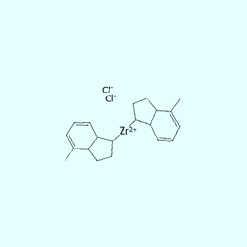 CC1=CC=CC2[CH]([Zr+2][CH]3CCC4C(C)=CC=CC34)CCC12.[Cl-].[Cl-]